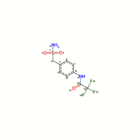 NS(=O)(=O)Cc1ccc(NC(=O)C(F)(F)F)cc1